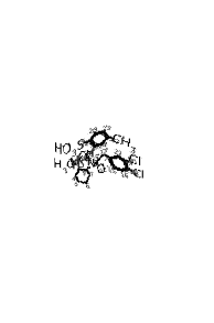 CN(C)C1CCCCC1N(C)C(=O)Cc1ccc(Cl)c(Cl)c1.Cc1ccc(S(=O)(=O)O)cc1